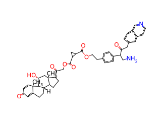 C[C@]12C=CC(=O)C=C1CC[C@@H]1C2[C@@H](O)C[C@@]2(C)C1CC[C@@H]2C(=O)COC(=O)C1CC1C(=O)OCCc1ccc(C(CN)C(=O)Cc2ccc3cnccc3c2)cc1